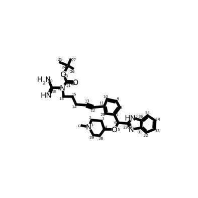 CN1CCC(OC(c2cccc(C#CCCCN(C(=N)N)C(=O)OC(C)(C)C)c2)c2nc3ccccc3[nH]2)CC1